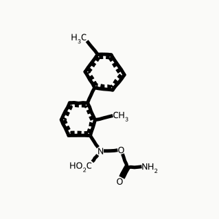 Cc1cccc(-c2cccc(N(OC(N)=O)C(=O)O)c2C)c1